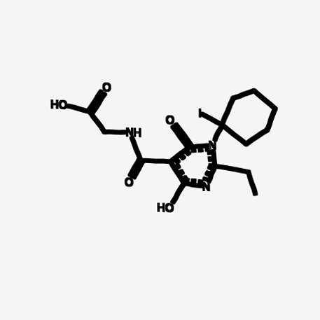 CCc1nc(O)c(C(=O)NCC(=O)O)c(=O)n1C1(I)CCCCC1